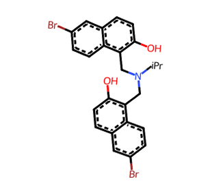 CC(C)N(Cc1c(O)ccc2cc(Br)ccc12)Cc1c(O)ccc2cc(Br)ccc12